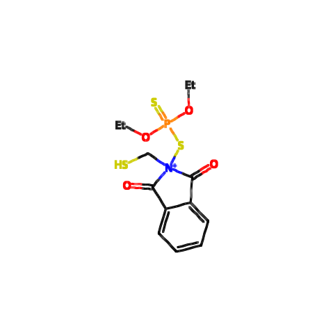 CCOP(=S)(OCC)S[N+]1(CS)C(=O)c2ccccc2C1=O